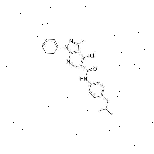 Cc1nn(-c2ccccc2)c2ncc(C(=O)Nc3ccc(CC(C)C)cc3)c(Cl)c12